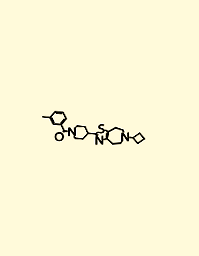 Cc1cccc(C(=O)N2CCC(c3nc4c(s3)CCN(C3CCC3)CC4)CC2)c1